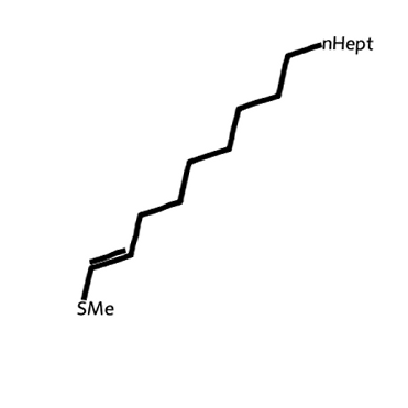 CCCCCCCCCCCCCC/C=C/SC